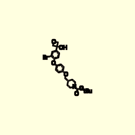 CC(C)(C)OC(=O)N1CCC(COc2ccc(Oc3ccc(C4(O)COC4)cc3Br)cc2)CC1